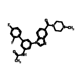 CC(=O)Nc1cc(-c2ccc(F)cc2F)cc(-n2cnc3cc(C(=O)N4CCN(C)CC4)ccc32)c1